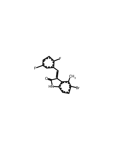 Cc1c(Br)ccc2c1C(=Cc1cc(F)ccc1F)C(=O)N2